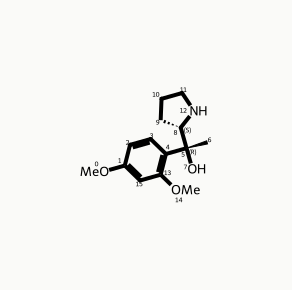 COc1ccc([C@@](C)(O)[C@@H]2CCCN2)c(OC)c1